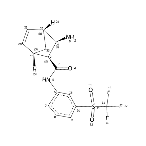 N[C@H]1[C@@H](C(=O)Nc2cccc(S(=O)(=O)C(F)(F)F)c2)[C@@H]2C=C[C@H]1C2